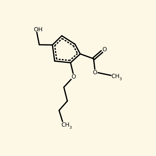 CCCCOc1cc(CO)ccc1C(=O)OC